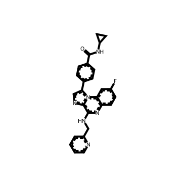 O=C(NC1CC1)c1ccc(-c2cnc3c(NCc4ccccn4)nc4ccc(F)cc4n23)cc1